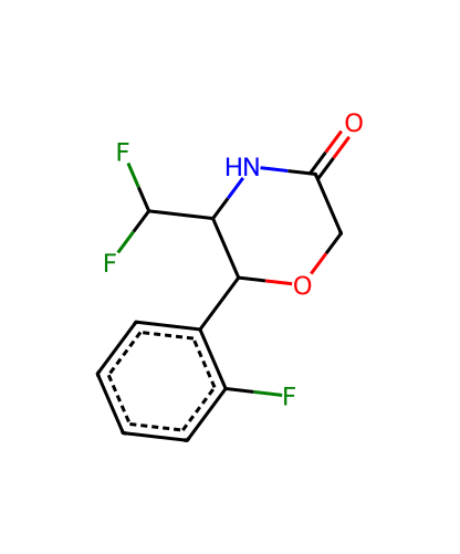 O=C1COC(c2ccccc2F)C(C(F)F)N1